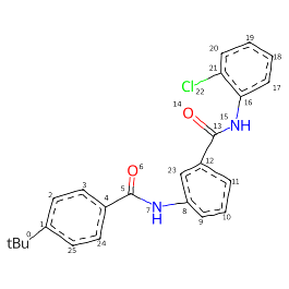 CC(C)(C)c1ccc(C(=O)Nc2cccc(C(=O)Nc3ccccc3Cl)c2)cc1